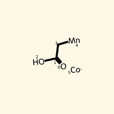 O=C(O)[CH2][Mn].[Co]